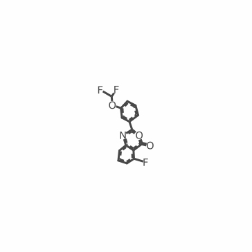 O=c1oc(-c2cccc(OC(F)F)c2)nc2cccc(F)c12